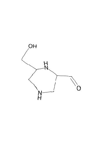 O=CC1CNCC(CO)N1